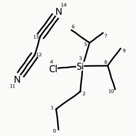 CCC[Si](Cl)(C(C)C)C(C)C.N#CC#N